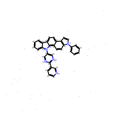 c1ccc(-n2ccc3c4ccc5c6ccccc6n(-c6cnc(-c7cccnc7)nc6)c5c4ccc32)cc1